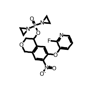 O=[N+]([O-])c1cc2c(cc1Oc1cccnc1F)C(OP(=O)(N1CC1)N1CC1)COC2